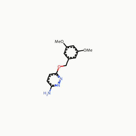 COc1cc(COc2ccc(N)nn2)cc(OC)c1